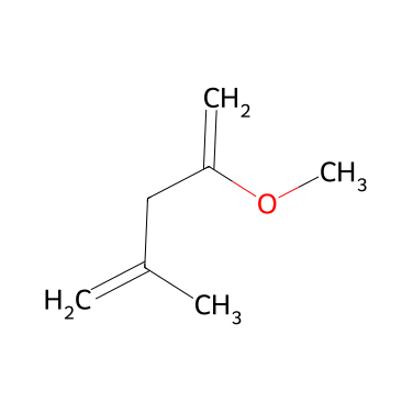 C=C(C)CC(=C)OC